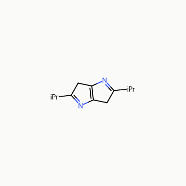 CC(C)C1=NC2=C(C1)N=C(C(C)C)C2